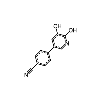 N#Cc1ccc(-c2cnc(O)c(O)c2)cc1